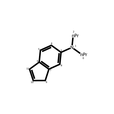 CCCN(CCC)c1ccc2c(c1)CC=C2